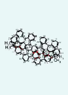 CC(C)(C)c1ccc(-c2ccccc2N2c3cc4c(cc3B3c5ccccc5N(c5ccccc5)c5c3c2cc2oc3ccccc3c52)B2c3ccccc3N(c3ccccc3)c3c2c(cc2oc5ccccc5c32)N4c2c(-c3ccc(C(C)(C)C)cc3)cccc2-c2ccc(C(C)(C)C)cc2)cc1